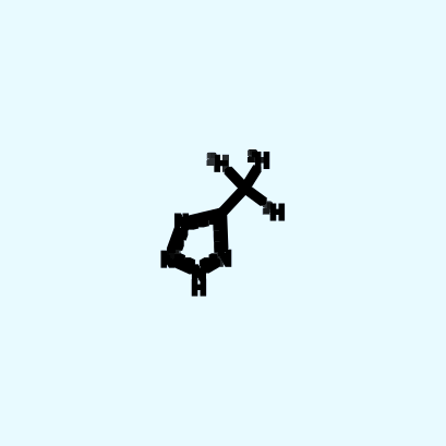 [2H]C([2H])([2H])c1nn[nH]n1